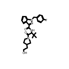 CC(C)(C)C(NC(=O)c1nn(Cc2ccc(F)cc2)c2ccccc12)C(=O)N1CCC(CCO)CC1